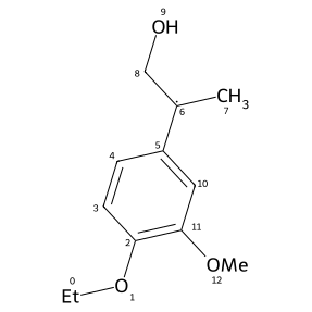 CCOc1ccc([C](C)CO)cc1OC